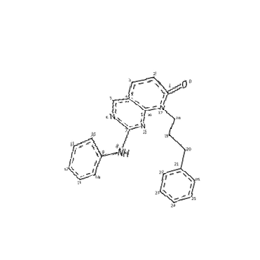 O=c1ccc2cnc(Nc3ccccc3)nc2n1CCCc1ccccc1